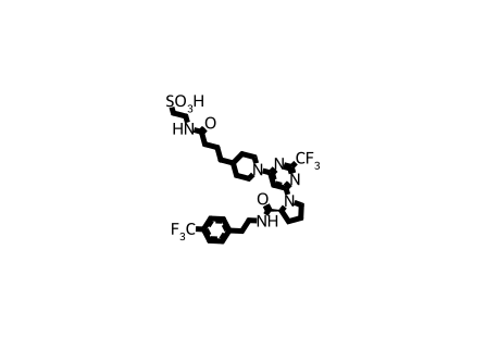 O=C(CCCC1CCN(c2cc(N3CCC[C@H]3C(=O)NCCc3ccc(C(F)(F)F)cc3)nc(C(F)(F)F)n2)CC1)NCCS(=O)(=O)O